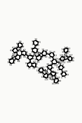 c1ccc(-c2ccc(N(c3cc(-c4cccc(-c5ccc6oc7c(N(c8ccc(-c9ccccc9)cc8)c8cc(-c9ccc%10c(c9)-c9ccc%11c(oc%12ccccc%12%11)c9-c9cccc%11c%12ccccc%12n-%10c9%11)cc(-c9cccc%10ccccc9%10)c8)cccc7c6c5)c4)cc(-c4ccc5c(c4)-c4ccc6c(oc7ccccc76)c4-c4cccc6c7ccccc7n-5c46)c3)c3ccc4c(c3)c3ccccc3n4-c3ccccc3)cc2)cc1